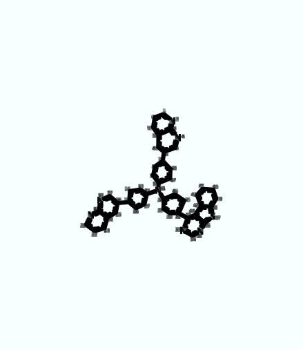 c1cnc2ncc(-c3ccc(N(c4ccc(-c5cnc6ncccc6c5)cc4)c4ccc(-c5ncnc6sc7ccccc7c56)cc4)cc3)cc2c1